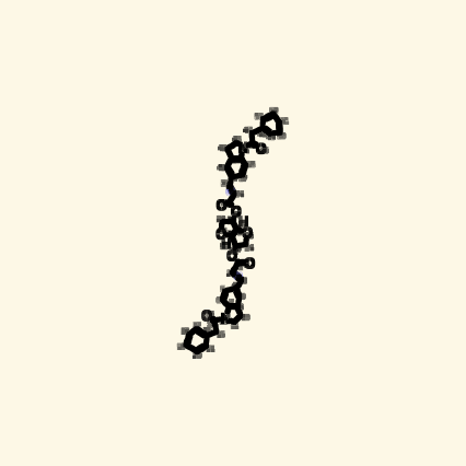 O=C(/C=C/c1ccc2c(c1)CCN2C(=O)Cc1ccccc1)O[C@H]1CO[C@H]2[C@@H]1OC[C@H]2OC(=O)/C=C/c1ccc2c(c1)CCN2C(=O)Cc1ccccc1